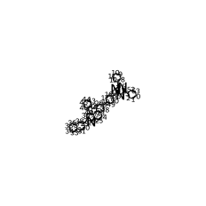 c1ccc(-c2nc(-c3ccccc3)nc(-c3ccc(-c4ccc5c(ccc6nc(-c7ccc8ccccc8c7)cc(-c7ccccc7)c65)c4)cc3)n2)cc1